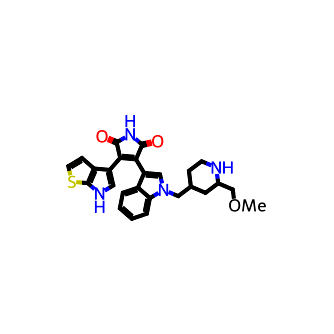 COCC1CC(Cn2cc(C3=C(c4c[nH]c5sccc45)C(=O)NC3=O)c3ccccc32)CCN1